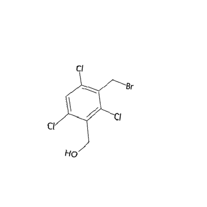 OCc1c(Cl)cc(Cl)c(CBr)c1Cl